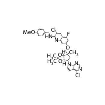 COc1ccc(CNc2nc3cc(OC[C@]4(C)C[C@@H](n5ccc6c(Cl)ncnc65)[C@@H]5OC(C)(C)O[C@@H]54)cc(F)c3cc2Cl)cc1